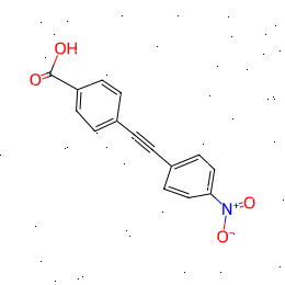 O=C(O)c1ccc(C#Cc2ccc([N+](=O)[O-])cc2)cc1